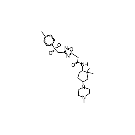 Cc1ccc(S(=O)(=O)Cc2noc(CC(=O)NC3CCC(N4CCN(C)CC4)CC3(C)C)n2)cc1